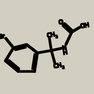 CC(C)(NC(=O)O)c1cccc(Br)c1